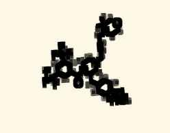 CC1(C)COCCN1CC#CCN1CCN(C(=O)c2cc(C(F)(F)F)cc(C(F)(F)F)c2)[C@H](Cc2ccc(Cl)cc2)C1.Cl.Cl